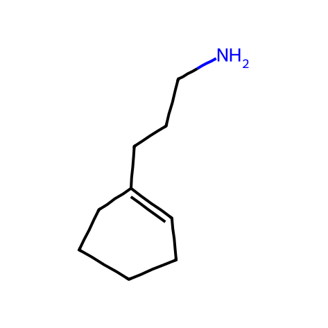 NCCCC1=CCCCC1